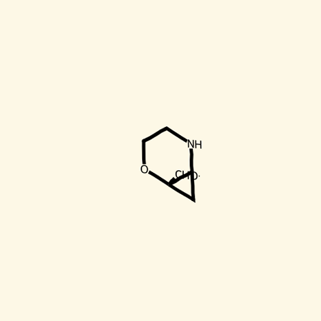 O=[C]C12CC1NCCO2